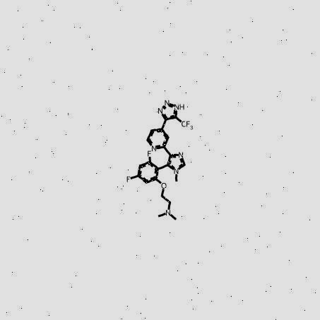 CN(C)CCOc1cc(F)cc(F)c1-c1c(-c2cc(-c3nn[nH]c3C(F)(F)F)ccn2)ncn1C